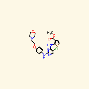 COC(=O)c1ccsc1Nc1nc(Nc2ccc(OCCN3CCOCC3)cc2)ncc1Cl